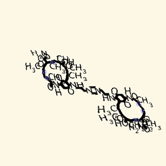 COC1/C=C\C=C(/C)C(=O)NC2=CC(=O)C(NCCCN3CCN(CCCNC4=C5CC(C)CC(OC)C(O)C(C)/C=C(\C)C(C(=O)ON)C(OC)/C=C\C=C(/C)C(=O)NC(=CC4=O)C5=O)CC3)=C(CC(C)CC(OC)C(O)C(C)/C=C(\C)C1OC(N)=O)C2=O